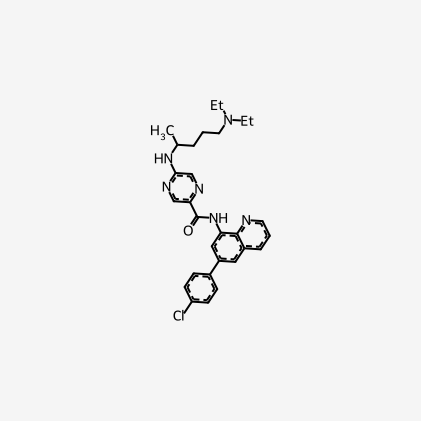 CCN(CC)CCCC(C)Nc1cnc(C(=O)Nc2cc(-c3ccc(Cl)cc3)cc3cccnc23)cn1